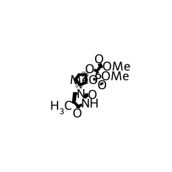 COC(=O)C(O[C@H]1CC[C@@H](n2cc(C)c(=O)[nH]c2=O)C1)P(=O)(OC)OC